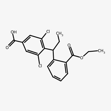 CCOC(=O)c1ccccc1C(CC)c1c(Cl)cc(C(=O)O)cc1Cl